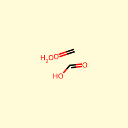 C=O.O.O=CO